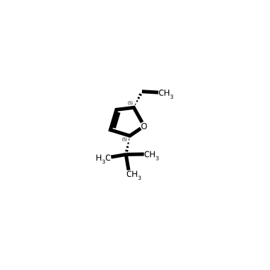 CC[C@H]1C=C[C@@H](C(C)(C)C)O1